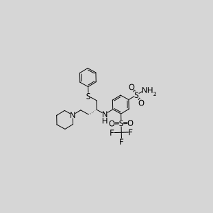 NS(=O)(=O)c1ccc(N[C@H](CCN2CCCCC2)CSc2ccccc2)c(S(=O)(=O)C(F)(F)F)c1